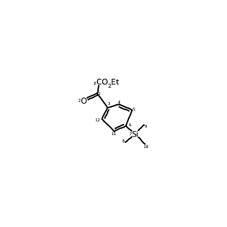 CCOC(=O)C(=O)c1ccc([Si](C)(C)C)cc1